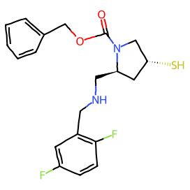 O=C(OCc1ccccc1)N1C[C@H](S)C[C@H]1CNCc1cc(F)ccc1F